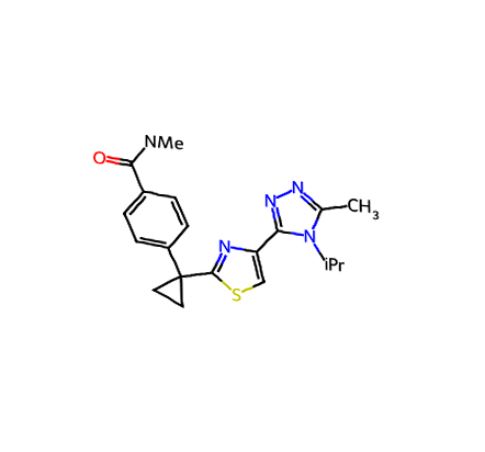 CNC(=O)c1ccc(C2(c3nc(-c4nnc(C)n4C(C)C)cs3)CC2)cc1